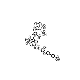 CC(=O)N1CCC(C(=O)O)CC1.CC1=C(C(=O)O)Cc2ccccc21.COc1cc(CC(=O)O)cc(OC)c1.Cc1cccc(C(=O)O)n1.O=C(O)CCc1ccc2c(c1)OCO2.O=C(O)c1ccc(C2CCCCC2)cc1.O=C(O)c1ccc(Cl)s1